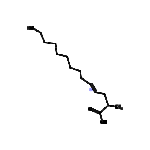 CC(C/C=C/CCCCCCCCO)C(=O)O